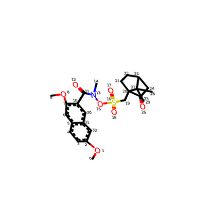 COc1ccc2cc(OC)c(C(=O)N(C)OS(=O)(=O)CC34CCC(CC3=O)C4(C)C)cc2c1